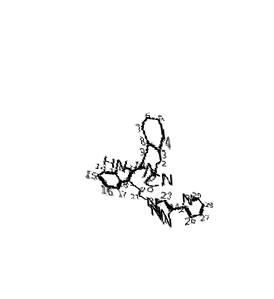 N#CN1CC2CCCCC2CC1c1[nH]c2ccccc2c1CCn1cc(-c2ccccn2)nn1